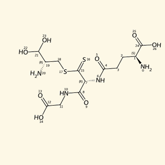 N[C@@H](CCC(=O)N[C@H](C(=O)NCC(=O)O)C(=S)SC[C@H](N)C(O)O)C(=O)O